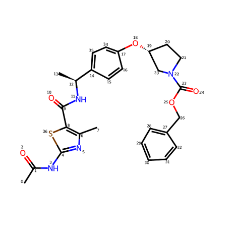 CC(=O)Nc1nc(C)c(C(=O)N[C@@H](C)c2ccc(O[C@@H]3CCN(C(=O)OCc4ccccc4)C3)cc2)s1